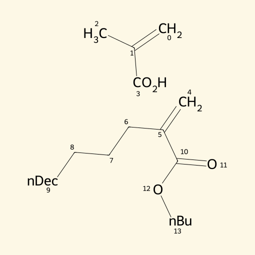 C=C(C)C(=O)O.C=C(CCCCCCCCCCCCC)C(=O)OCCCC